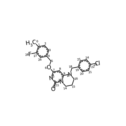 Cc1ccc(COc2cc3n(c(=O)n2)CCCN3Cc2ccc(Cl)cc2)cc1F